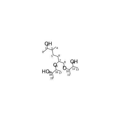 CC(O)C(C)CCC(COC(C)C(C)O)OC(C)C(C)O